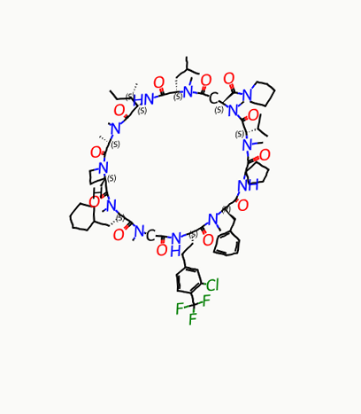 CC[C@H](C)[C@@H]1NC(=O)[C@H](CC(C)C)N(C)C(=O)C[C@@H](C(=O)N2CCCCC2)N(C)C(=O)[C@H](C(C)C)N(C)C(=O)C2(CCCC2)NC(=O)[C@@H](Cc2ccccc2)N(C)C(=O)[C@H](CCc2ccc(C(F)(F)F)c(Cl)c2)NC(=O)CN(C)C(=O)[C@H](CC2CCCCC2)N(C)C(=O)[C@@H]2CCN2C(=O)[C@H](C)N(C)C1=O